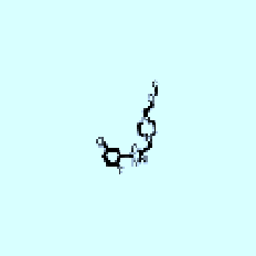 O=COCCN1CCN(Cc2nnc(-c3cc(Cl)ccc3F)o2)CC1